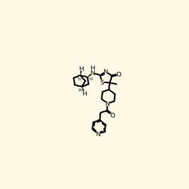 CC1(C2CCN(C(=O)Cc3ccncc3)CC2)SC(N[C@H]2C[C@@H]3CC[C@H]2C3)=NC1=O